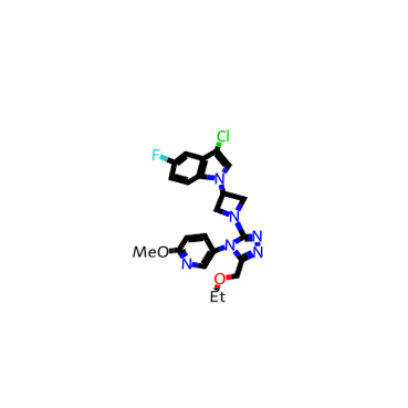 CCOCc1nnc(N2CC(n3cc(Cl)c4cc(F)ccc43)C2)n1-c1ccc(OC)nc1